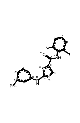 Cc1cccc(C)c1NC(=O)c1cnc(Nc2cccc(Br)c2)s1